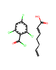 C=CCCC=CC(=O)O.O=C(Cl)c1c(Cl)cc(Cl)cc1Cl